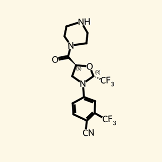 N#Cc1ccc(N2C[C@@H](C(=O)N3CCNCC3)O[C@@H]2C(F)(F)F)cc1C(F)(F)F